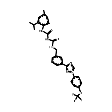 Cc1ccc(NC(=S)NC(=O)NCc2cccc(-c3ncn(-c4ccc(OC(F)(F)F)cc4)n3)c2)c(C(C)C)c1